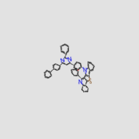 c1ccc(-c2ccc(-c3cc(-c4ccc(-n5c6ccccc6c6sc7c8ccccc8nc(-c8ccccc8)c7c65)cc4)nc(-c4ccccc4)n3)cc2)cc1